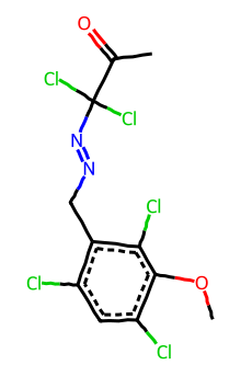 COc1c(Cl)cc(Cl)c(C/N=N/C(Cl)(Cl)C(C)=O)c1Cl